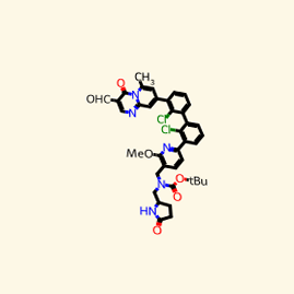 COc1nc(-c2cccc(-c3cccc(-c4cc(C)n5c(=O)c(C=O)cnc5c4)c3Cl)c2Cl)ccc1CN(CC1CCC(=O)N1)C(=O)OC(C)(C)C